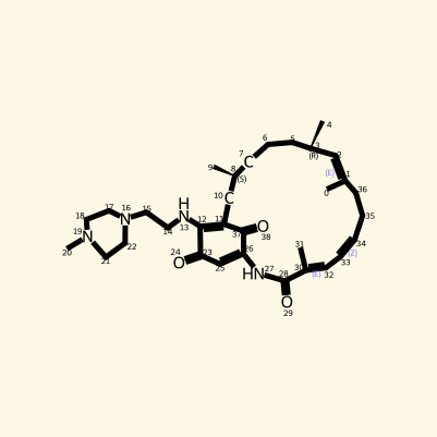 C/C1=C\[C@H](C)CCC[C@H](C)CC2=C(NCCN3CCN(C)CC3)C(=O)C=C(NC(=O)/C(C)=C/C=C\CC1)C2=O